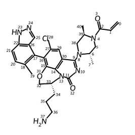 C=CC(=O)N1C[C@H](C)N(c2nc(=O)n3c4c(c(-c5c(C)ccc6[nH]ncc56)c(Cl)cc24)OC[C@H]3CCCN)C[C@H]1C